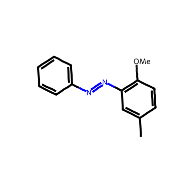 COc1ccc(C)cc1N=Nc1ccccc1